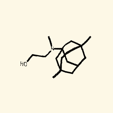 CN(CCO)C12CC3CC(C)(CC(C)(C3)C1)C2